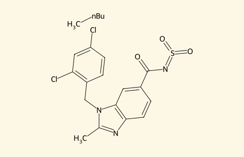 CCCCC.Cc1nc2ccc(C(=O)N=S(=O)=O)cc2n1Cc1ccc(Cl)cc1Cl